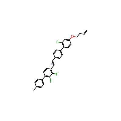 C=CCCOc1ccc(-c2ccc(/C=C/c3ccc(-c4ccc(C)cc4)c(F)c3F)cc2)c(F)c1